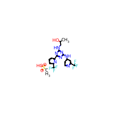 CC(O)CNc1nc(Nc2ccnc(C(F)(F)F)c2)nc(-c2cccc(C(F)(F)F)n2)n1.CS(=O)(=O)O